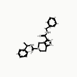 CC(NC(=O)N1CCc2onc(C(=O)NCc3ccccc3)c2C1)c1ccccc1